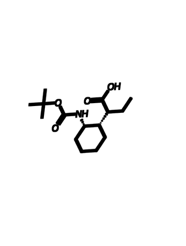 CCC(C(=O)O)[C@@H]1CCCC[C@@H]1NC(=O)OC(C)(C)C